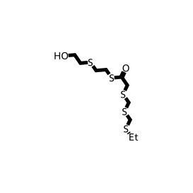 CCSCSCSCC(=O)SCCSCCO